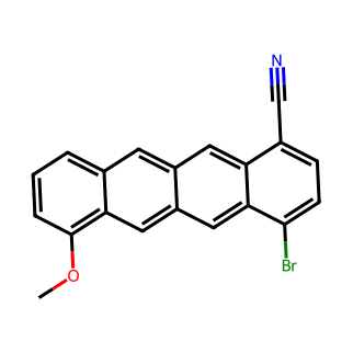 COc1cccc2cc3cc4c(C#N)ccc(Br)c4cc3cc12